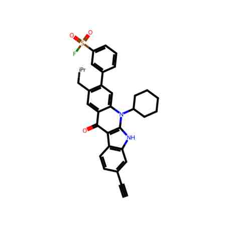 C#Cc1ccc2c(c1)[nH]c1c2c(=O)c2cc(CC(C)C)c(-c3cccc(S(=O)(=O)F)c3)cc2n1C1CCCCC1